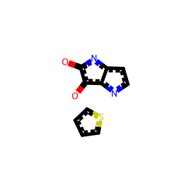 O=c1nc2ccnc-2c1=O.c1ccsc1